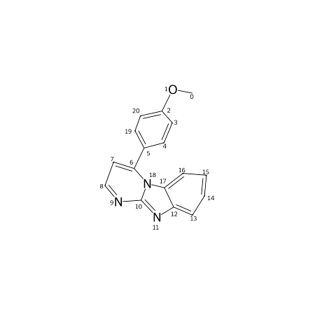 COc1ccc(-c2ccnc3nc4ccccc4n23)cc1